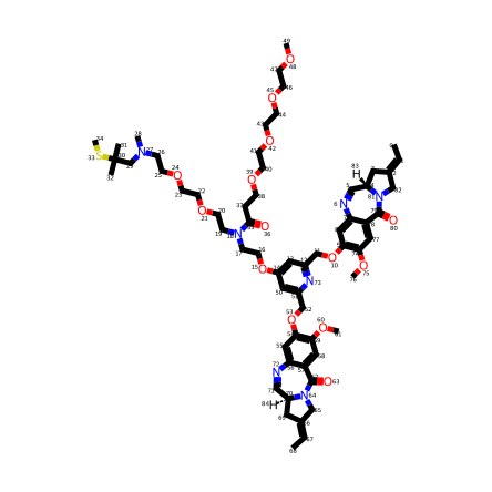 C/C=C1\C[C@H]2C=Nc3cc(OCc4cc(OCCN(CCOCCOCCN(C)CC(C)(C)SC)C(=O)CCOCCOCCOCCOC)cc(COc5cc6c(cc5OC)C(=O)N5C/C(=C/C)C[C@H]5C=N6)n4)c(OC)cc3C(=O)N2C1